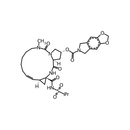 CC(C)S(=O)(=O)NC(=O)[C@@]12C[C@H]1/C=C\CCCCCN(C)C(=O)N1C[C@H](OC(=O)N3Cc4cc5c(cc4C3)OCO5)C[C@H]1C(=O)N2